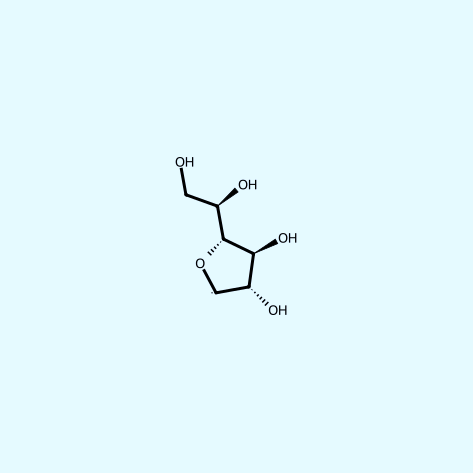 OC[C@@H](O)[C@H]1O[CH][C@@H](O)[C@@H]1O